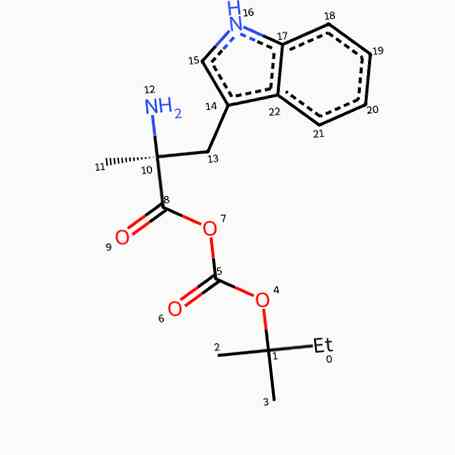 CCC(C)(C)OC(=O)OC(=O)[C@@](C)(N)Cc1c[nH]c2ccccc12